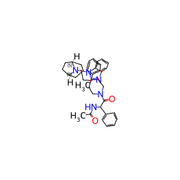 CC(=O)NC(C(=O)N1CCC(CCN2[C@@H]3CC[C@H]2CC(n2c(C)nc4ccccc42)C3)(c2ccccc2)CC1)c1ccccc1